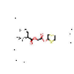 CCC(C)C(=O)OCC(=O)OC1CSCCS1